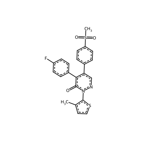 Cc1ccsc1-n1ncc(-c2ccc(S(C)(=O)=O)cc2)c(-c2ccc(F)cc2)c1=O